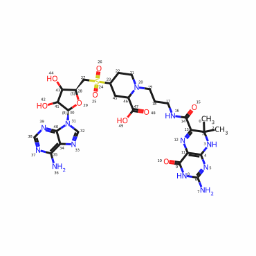 CC1(C)Nc2nc(N)[nH]c(=O)c2N=C1C(=O)NCCCN1CCC(S(=O)(=O)C[C@H]2O[C@@H](n3cnc4c(N)ncnc43)C(O)C2O)CC1C(=O)O